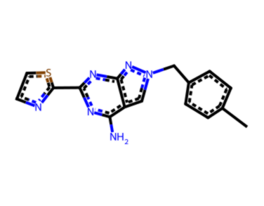 Cc1ccc(Cn2cc3c(N)nc(-c4nccs4)nc3n2)cc1